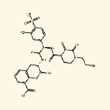 NS(=O)(=O)c1ccc([C@@H](NC(=O)N2CCN(CCBr)C(=O)C2=O)C(=O)N[C@H]2Cc3cccc(C(=O)O)c3OB2O)cc1O